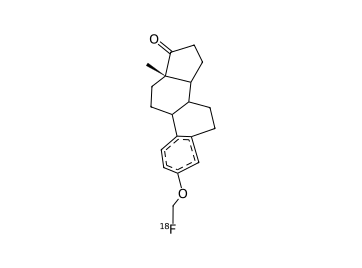 C[C@]12CCC3c4ccc(OC[18F])cc4CCC3C1CCC2=O